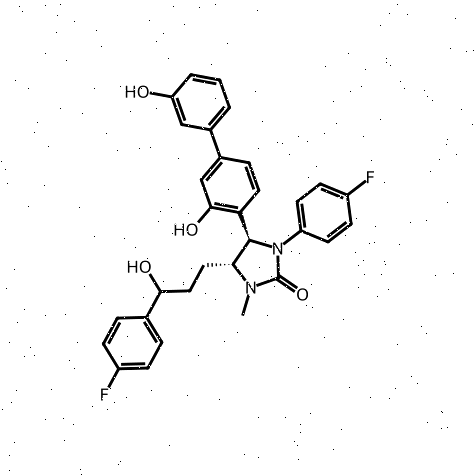 CN1C(=O)N(c2ccc(F)cc2)[C@H](c2ccc(-c3cccc(O)c3)cc2O)[C@H]1CCC(O)c1ccc(F)cc1